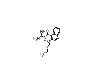 CCCCOc1ccc2ccccc2c1C(=O)NC(=N)N